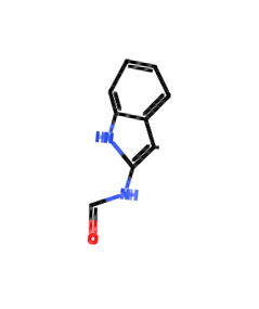 O=CNc1[c]c2ccccc2[nH]1